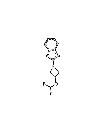 FC(F)OC1CN(c2nc3ccccc3s2)C1